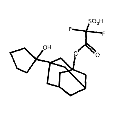 O=C(OC12CC3CC(C1)CC(C1(O)CCCC1)(C3)C2)C(F)(F)S(=O)(=O)O